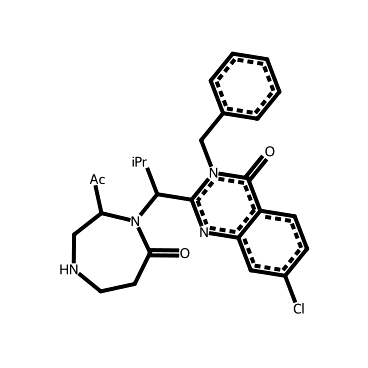 CC(=O)C1CNCCC(=O)N1C(c1nc2cc(Cl)ccc2c(=O)n1Cc1ccccc1)C(C)C